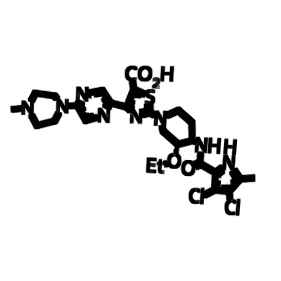 CCO[C@H]1CN(c2nc(-c3cnc(N4CCN(C)CC4)cn3)c(C(=O)O)s2)CC[C@H]1NC(=O)c1[nH]c(C)c(Cl)c1Cl